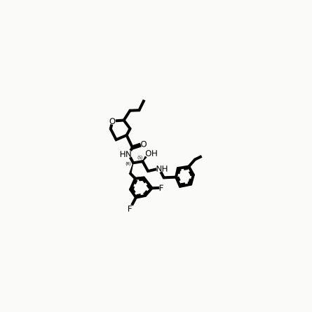 CCCC1CC(C(=O)N[C@H](Cc2cc(F)cc(F)c2)[C@@H](O)CNCc2cccc(CC)c2)CCO1